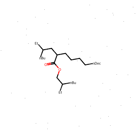 CCCCCCCCCCCCCCC(CC(CC)CCCC)C(=O)OCC(CC)CCCC